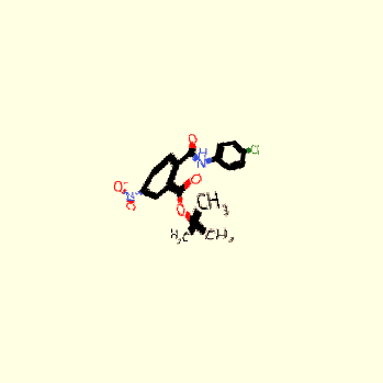 CC(C)(C)OC(=O)c1cc([N+](=O)[O-])ccc1C(=O)Nc1ccc(Cl)cc1